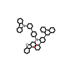 c1ccc(-c2ccc(-c3cc4ccccc4c4ccccc34)cc2N(c2ccc(-c3cccc(-n4c5ccccc5c5ccccc54)c3)cc2)c2ccc3c(c2)oc2ccccc23)cc1